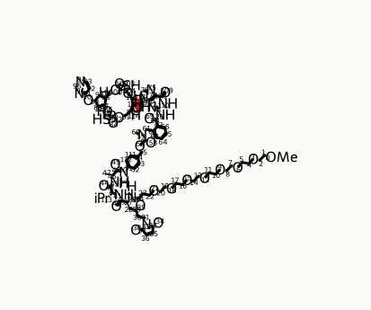 COCCOCCOCCOCCOCCOCCOCCOCCC(=O)N[C@@H](CCCCN1C(=O)C=CC1=O)C(=O)N[C@H](C(=O)N[C@@H](C)C(=O)Nc1ccc(COC(=O)N(C)Cc2ccccc2C(=O)Nc2nc3c(ncn3[C@@H]3O[C@H]4CO[P@@](=O)(S)O[C@H]5C[C@H](Oc6ccncn6)C[C@@H]5CO[P@@](=O)(S)O[C@@H]3[C@@H]4O)c(=O)[nH]2)cc1)C(C)C